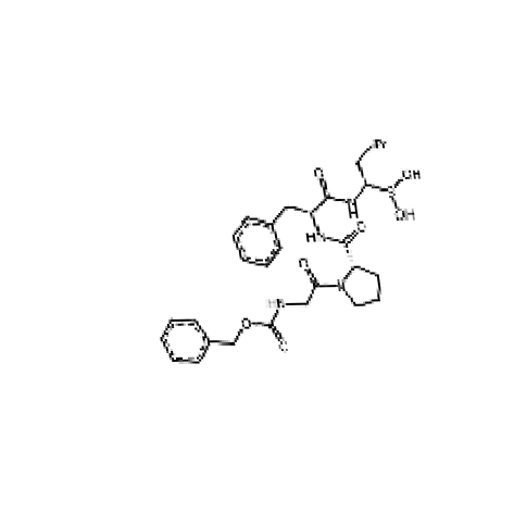 CC(C)C[C@H](NC(=O)[C@H](Cc1ccccc1)NC(=O)[C@@H]1CCCN1C(=O)CNC(=O)OCc1ccccc1)B(O)O